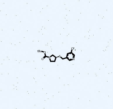 CC(C)(C)OC(=O)N1CC[C@H](SCc2cncc(C(F)(F)F)c2)C1